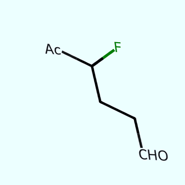 CC(=O)C(F)CCC=O